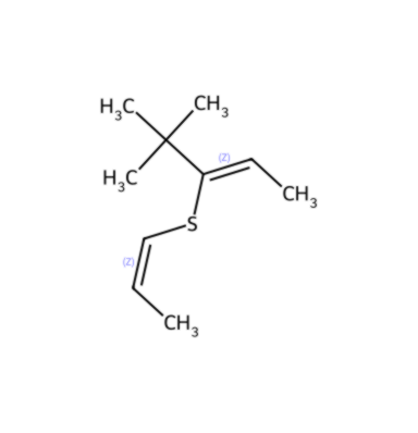 C/C=C\S/C(=C\C)C(C)(C)C